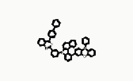 c1ccc(-c2ccc(-c3nc(-c4cccc(-n5c6cccc(-c7ccc8c(c7)Oc7ccccc7N8c7ccccc7)c6c6c7ccccc7ccc65)c4)nc4ccccc34)cc2)cc1